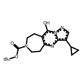 CC(C)(C)OC(=O)N1CCc2nc3c(C4CC4)cnn3c(O)c2CC1